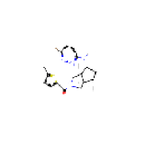 CCCCN(c1ccc(Br)nn1)[C@@H]1CC[C@H]2CN(C(=O)c3ccc(C)s3)C[C@H]21